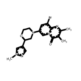 Cc1nc2c(Br)cc(N3CCOC(c4cnn(C)c4)C3)cn2c(=O)c1C